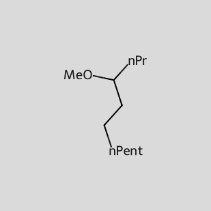 CCCCCCCC(CCC)OC